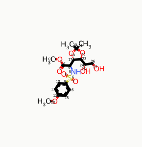 COC(=O)[C@H](NS(=O)(=O)c1ccc(OC)cc1)[C@@H]1OC(C)(C)O[C@H]1[C@@H](O)CO